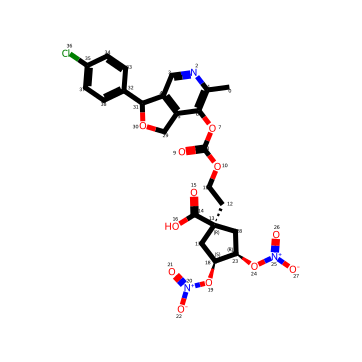 Cc1ncc2c(c1OC(=O)OCC[C@@]1(C(=O)O)C[C@H](O[N+](=O)[O-])[C@H](O[N+](=O)[O-])C1)COC2c1ccc(Cl)cc1